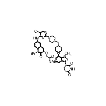 CNC(=O)COc1cc2cc(Nc3nc(N4CCN(CC5CCN(c6cccc7c(C8CCC(=O)NC8=O)nn(C)c67)CC5)CC4)ncc3Cl)ccc2n(C(C)C)c1=O